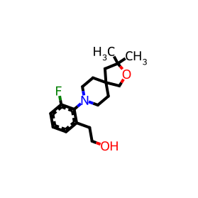 CC1(C)CC2(CCN(c3c(F)cccc3CCO)CC2)CO1